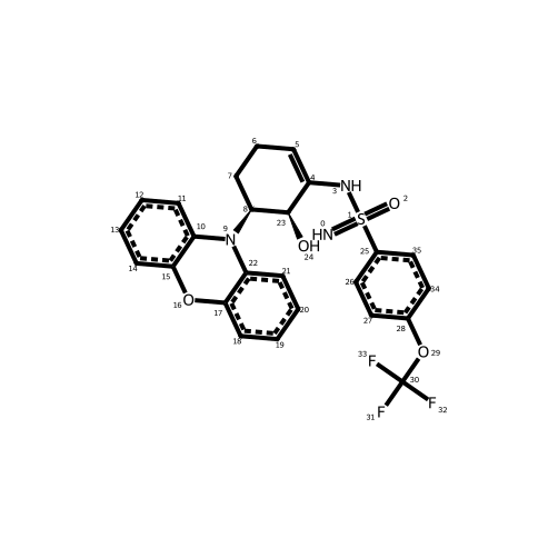 N=S(=O)(NC1=CCC[C@H](N2c3ccccc3Oc3ccccc32)[C@@H]1O)c1ccc(OC(F)(F)F)cc1